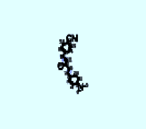 CN(C)c1ccc(/C=C/C(=O)/C=C/c2ccc(C#N)cc2)cc1